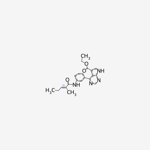 CC/C=C(\C)C(=O)Nc1cccc(-c2ncnc3[nH]cc(C(=O)OCC)c23)c1